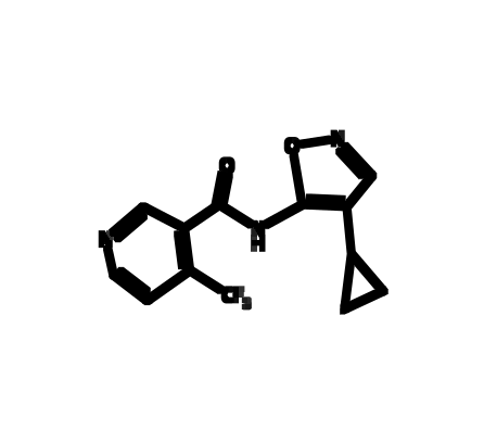 O=C(Nc1oncc1C1CC1)c1cnccc1C(F)(F)F